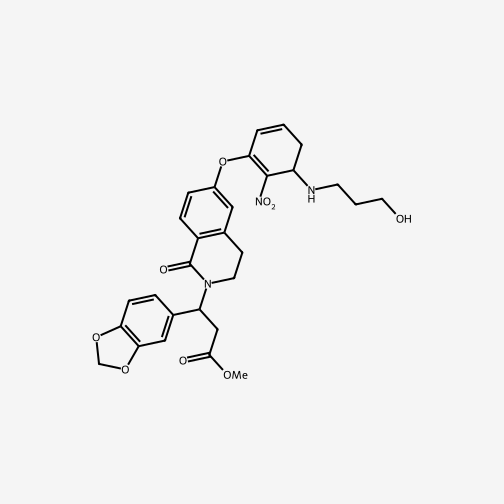 COC(=O)CC(c1ccc2c(c1)OCO2)N1CCc2cc(OC3=C([N+](=O)[O-])C(NCCCO)CC=C3)ccc2C1=O